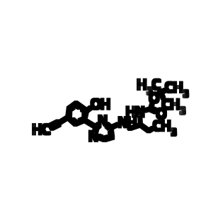 C#Cc1ccc(O)c(-c2nccc(NCC(CC)NC(=O)OC(C)(C)C)n2)c1